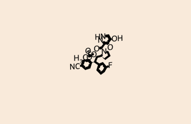 CS(=O)(=O)O[C@H]([C@@H](c1ccc(C#N)cc1)c1cccc(F)c1)[C@H]1CCCN1C(=O)c1n[nH]cc(O)c1=O